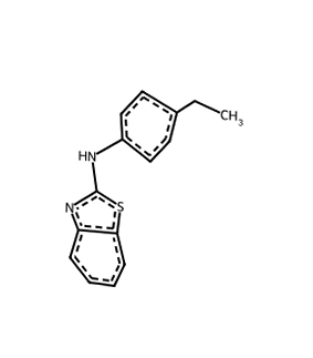 CCc1ccc(Nc2nc3ccccc3s2)cc1